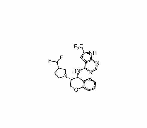 FC(F)[C@@H]1CCN([C@H]2COc3ccccc3[C@@H]2Nc2ncnc3[nH]c(C(F)(F)F)cc23)C1